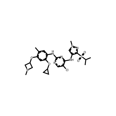 Cc1cc(Nc2ncc(Cl)c(Nc3cn(C)nc3S(=O)(=O)C(C)C)n2)c(OC2CC2)cc1OC1CN(C)C1